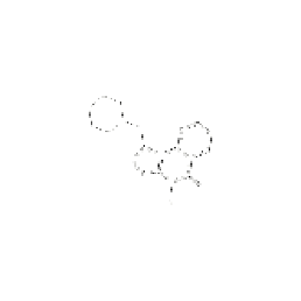 CCCCn1c(=O)c2ccccc2n2c(CN3CCCCC3)nnc12